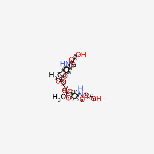 CC(Oc1ccc(NC(=O)OCCO)cc1)C(=O)OCCOC(=O)C(C)Oc1ccc(NC(=O)OCCO)cc1